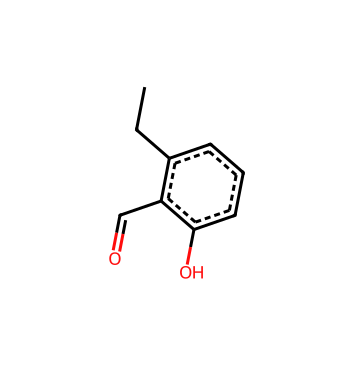 CCc1cccc(O)c1C=O